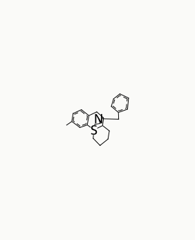 Cc1ccc2c(c1)S13CCCCC1C(C2)N(Cc1ccccc1)CC3